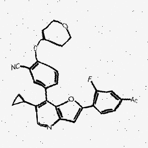 CC(=O)c1ccc(-c2cc3ncc(C4CC4)c(-c4ccc(OC5CCOCC5)c(C#N)c4)c3o2)c(F)c1